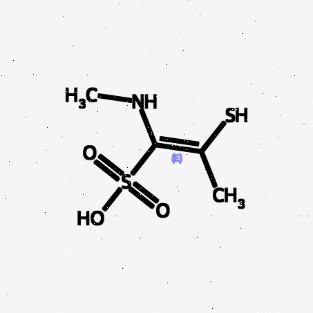 CN/C(=C(/C)S)S(=O)(=O)O